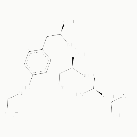 CC(C)C[C@H](N)C(=O)O.C[C@H](N)C(=O)O.NCC(=O)O.NCC(=O)O.N[C@@H](Cc1ccc(O)cc1)C(=O)O